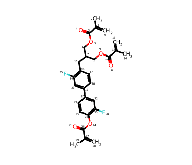 C=C(C)C(=O)OCC(COC(=O)C(=C)C)Cc1ccc(-c2ccc(OC(=O)C(=C)C)c(F)c2)cc1F